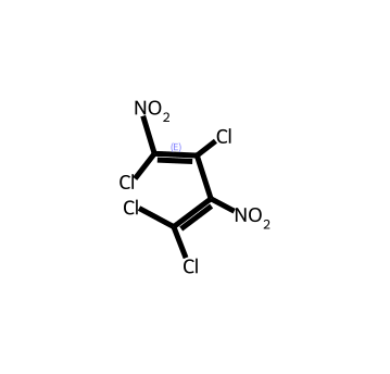 O=[N+]([O-])C(=C(Cl)Cl)/C(Cl)=C(\Cl)[N+](=O)[O-]